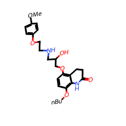 CCCCOc1ccc(OCC(O)CNCCOc2ccc(OC)cc2)c2c1NC(=O)CC2